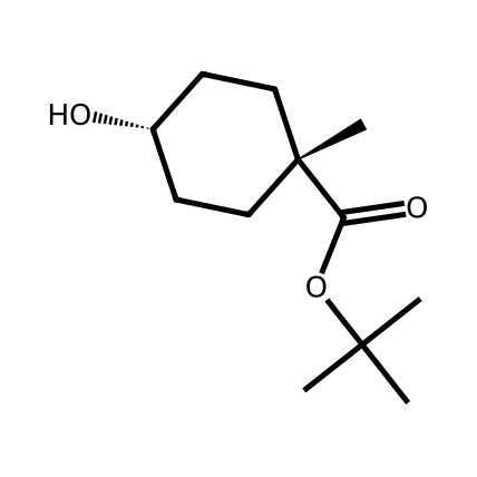 CC(C)(C)OC(=O)[C@]1(C)CC[C@H](O)CC1